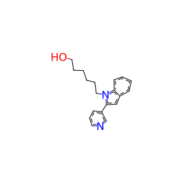 OCCCCCCn1c(-c2cccnc2)cc2ccccc21